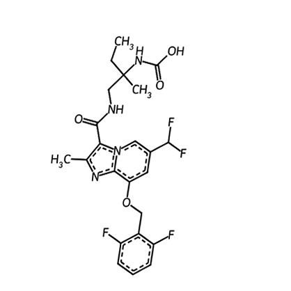 CCC(C)(CNC(=O)c1c(C)nc2c(OCc3c(F)cccc3F)cc(C(F)F)cn12)NC(=O)O